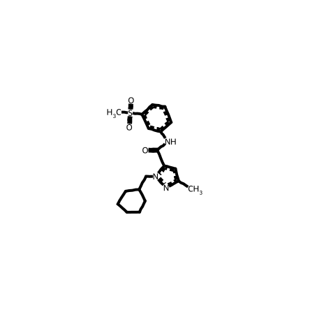 Cc1cc(C(=O)Nc2cccc(S(C)(=O)=O)c2)n(CC2CCCCC2)n1